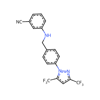 N#Cc1cccc(NCc2ccc(-n3nc(C(F)(F)F)cc3C(F)(F)F)cc2)c1